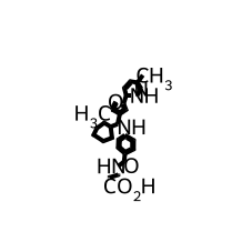 CC1=NNC(c2cc(C(Nc3ccc(C(=O)NCCC(=O)O)cc3)C3CCCCC3)c(C)o2)C=C1